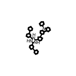 c1ccc(-c2cccc(C3NC(c4cccc(-c5ccccc5)c4)NC(c4cccc(-c5ccc6c(c5)c5ccccc5n6-c5ccccc5)c4)N3)c2)cc1